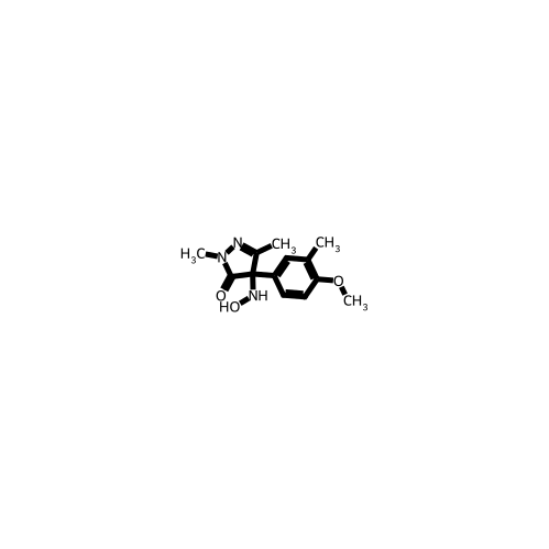 COc1ccc(C2(NO)C(=O)N(C)N=C2C)cc1C